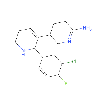 NC1=NCC(C2=CCCNC2C2C=CC(F)C(Cl)C2)CC1